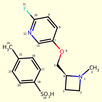 CN1CC[C@H]1COc1ccc(F)nc1.Cc1ccc(S(=O)(=O)O)cc1